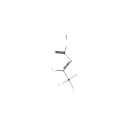 COC(=O)/C=C(\N)C(F)(F)F